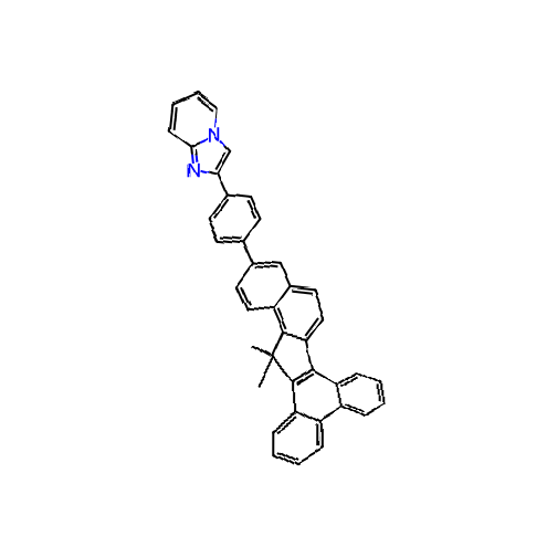 CC1(C)c2c(ccc3cc(-c4ccc(-c5cn6ccccc6n5)cc4)ccc23)-c2c1c1ccccc1c1ccccc21